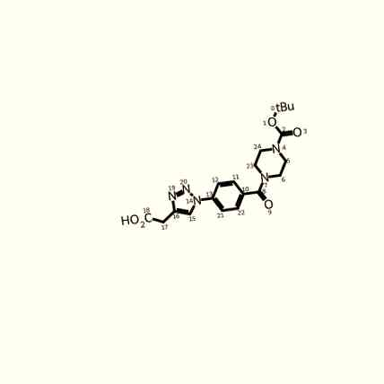 CC(C)(C)OC(=O)N1CCN(C(=O)c2ccc(-n3cc(CC(=O)O)nn3)cc2)CC1